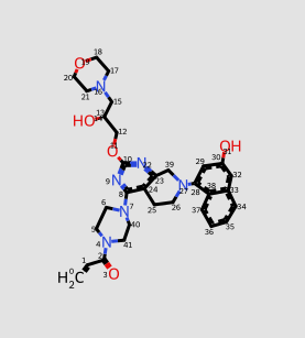 C=CC(=O)N1CCN(c2nc(OC[C@@H](O)CN3CCOCC3)nc3c2CCN(c2cc(O)cc4ccccc24)C3)CC1